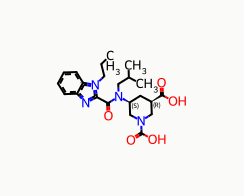 CCCn1c(C(=O)N(CC(C)C)[C@H]2C[C@@H](C(=O)O)CN(C(=O)O)C2)nc2ccccc21